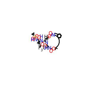 C=C[C@@H]1C[C@]1(NC(=O)[C@@H]1C[C@@H]2CN1C(=O)[C@H](CC(F)(F)F)NC(=O)OC(C)(C)CCCCc1cccc3c1CN(C3)C(=O)O2)C(=O)NS(=O)(=O)C1CC1